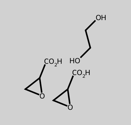 O=C(O)C1CO1.O=C(O)C1CO1.OCCO